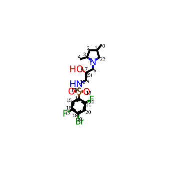 CC1CC(C)N(C[C@H](O)CNS(=O)(=O)c2cc(F)c(Br)cc2F)C1